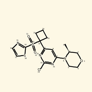 C[C@H]1COCCN1c1cc(C2(S(=O)(=O)c3nccs3)CCC2)nc(Cl)n1